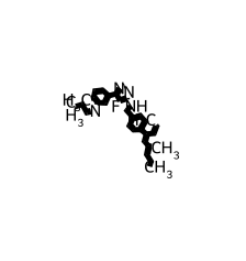 C\C=C/C(=C\C(C)=C\CC)c1ccc(CNc2ncnc(-c3ccc(C)c(/N=C\CCC)c3)c2F)cc1